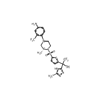 Cc1nnc(C(O)(c2ccc(S(=O)(=O)N3CCN(c4ccc(N)cc4C(F)(F)F)C[C@H]3C)s2)C(F)(F)F)[nH]1